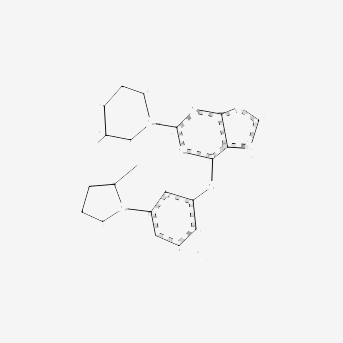 CC1CCCN1c1cccc(Nc2nc(N3CCCC(O)C3)nc3scnc23)c1.Cl